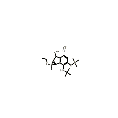 CCO[Si]1(C)C2=C1[CH]([Zr+2])c1ccc(O[Si](C)(C)C)c(NC(C)(C)C)c12.[Cl-].[Cl-]